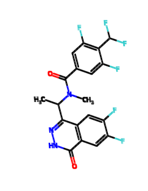 CC(c1n[nH]c(=O)c2cc(F)c(F)cc12)N(C)C(=O)c1cc(F)c(C(F)F)c(F)c1